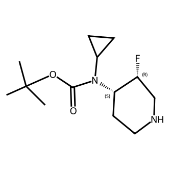 CC(C)(C)OC(=O)N(C1CC1)[C@H]1CCNC[C@H]1F